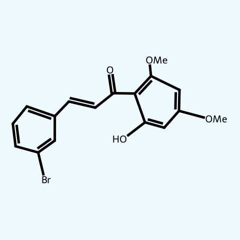 COc1cc(O)c(C(=O)/C=C/c2cccc(Br)c2)c(OC)c1